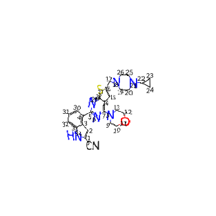 N#Cc1cc2c(-c3nc(N4CCOCC4)c4cc(CN5CCN(C6CC6)CC5)sc4n3)cccc2[nH]1